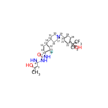 C/C(O)=C/C(=N)NC(=O)Nc1ccc(CC2CCN(Cc3ccc(C(O)(C(F)(F)F)C(F)(F)F)cc3)CC2)cc1F